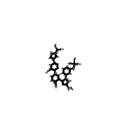 Cc1cc(-c2nn(-c3ccc(-c4cnn(C(F)F)c4)cc3F)ccc2=O)n(-c2cccc(OC(F)(F)F)c2)n1